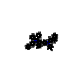 Cc1ccc(N(c2ccc(-c3cc4c(-c5ccccc5)c(-c5ccccc5)n(-c5ccc(-c6ccccc6)cc5)c4c4ccccc34)cc2)c2ccc3c(c2)C(C)(C)c2ccccc2-3)cc1